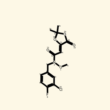 CON(Cc1ccc(F)c(Cl)c1)C(=O)C=C1OC(C)(C)OC1=O